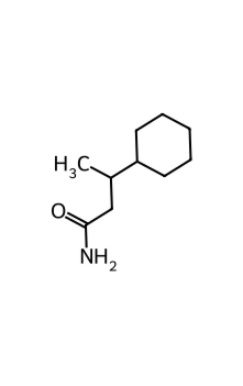 CC(CC(N)=O)C1CCCCC1